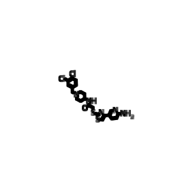 Nc1ccc(-c2csc(SCC(=O)NC3CCN(Cc4ccc(Cl)c(Cl)c4)CC3)n2)cn1